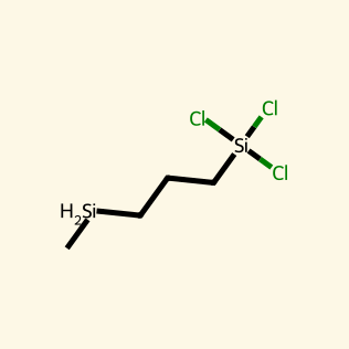 C[SiH2]CCC[Si](Cl)(Cl)Cl